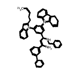 C/C=C\CCc1cc2ccccc2n1-c1cc(C(/C=C(\N)c2cccc(-c3ccccc3)c2)NCc2ccccc2)cc(-n2c3c(c4ccccc42)CCC=C3)c1